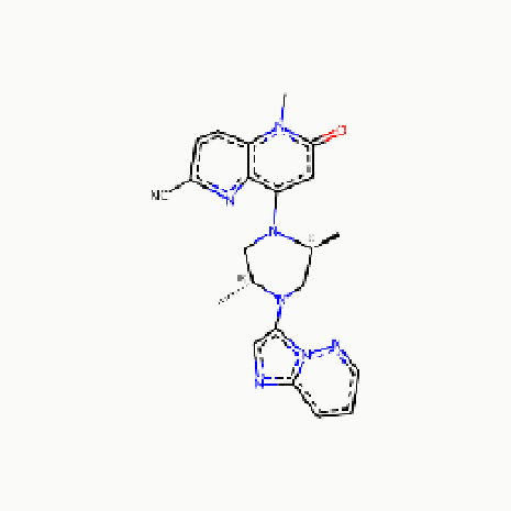 C[C@@H]1CN(c2cc(=O)n(C)c3ccc(C#N)nc23)[C@@H](C)CN1c1cnc2cccnn12